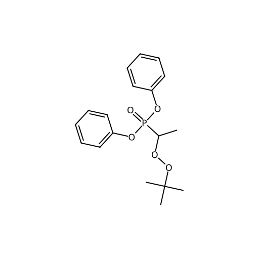 CC(OOC(C)(C)C)P(=O)(Oc1ccccc1)Oc1ccccc1